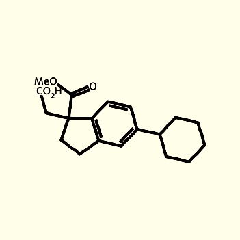 COC(=O)C1(CC(=O)O)CCc2cc(C3CCCCC3)ccc21